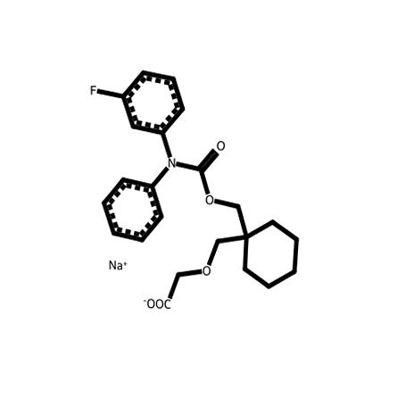 O=C([O-])COCC1(COC(=O)N(c2ccccc2)c2cccc(F)c2)CCCCC1.[Na+]